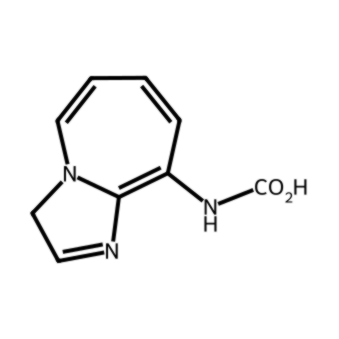 O=C(O)NC1=C2N=CCN2C=CC=C1